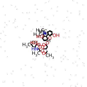 CC(=O)C[C@@H](CC(=O)OC1=CC[C@@]2(O)[C@@H](C)N(C)CC[C@@]23c2c(C)ccc(O)c2O[C@@H]13)C(=O)O[C@@H](C)C(=O)N[C@@H](CC(C)C)C(=O)O